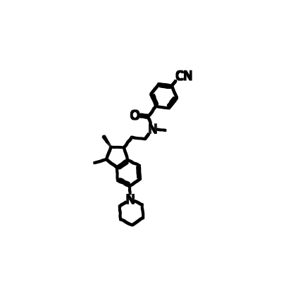 CC1c2cc(N3CCCCC3)ccc2C(CCN(C)C(=O)c2ccc(C#N)cc2)[C@@H]1C